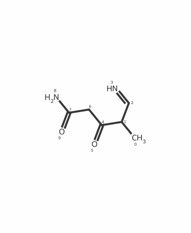 CC(C=N)C(=O)CC(N)=O